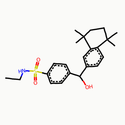 CCNS(=O)(=O)c1ccc(C(O)c2ccc3c(c2)C(C)(C)CCC3(C)C)cc1